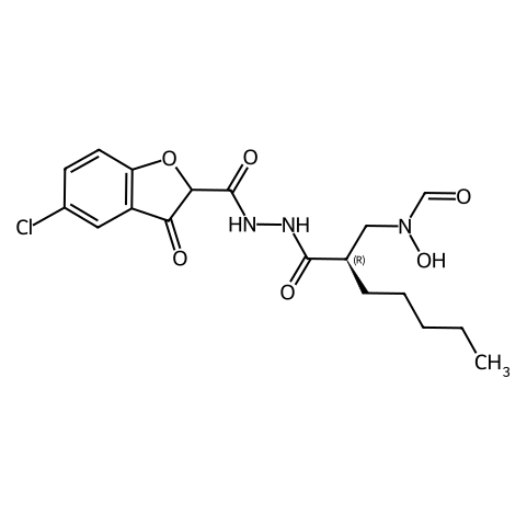 CCCCC[C@H](CN(O)C=O)C(=O)NNC(=O)C1Oc2ccc(Cl)cc2C1=O